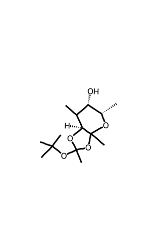 CC1[C@H](O)[C@H](C)OC2(C)OC(C)(OC(C)(C)C)O[C@@H]12